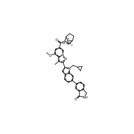 COc1cc(C(=O)C2CC3CCC2[C@@H]3N)cn2nc(-c3cc4ccc(-c5ccc6c(c5)C(=O)NC6)cc4n3CC3CC3)c(C)c12